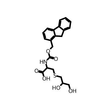 O=C(NC(CSCC(O)CO)C(=O)O)OCc1cccc2c1Cc1ccccc1-2